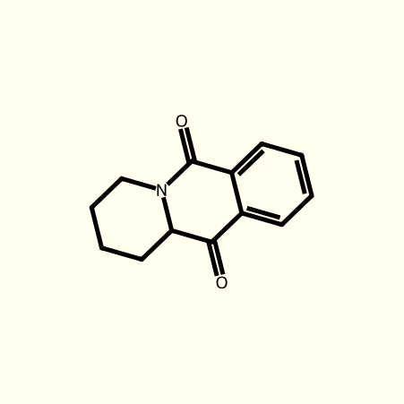 O=C1c2ccccc2C(=O)N2CCCCC12